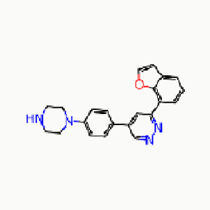 c1cc(-c2cc(-c3ccc(N4CCNCC4)cc3)cnn2)c2occc2c1